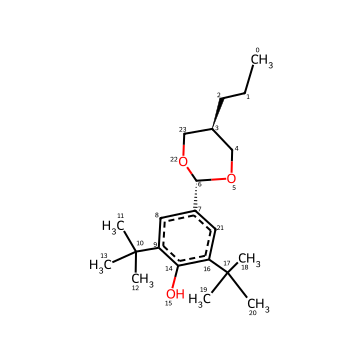 CCC[C@H]1CO[C@H](c2cc(C(C)(C)C)c(O)c(C(C)(C)C)c2)OC1